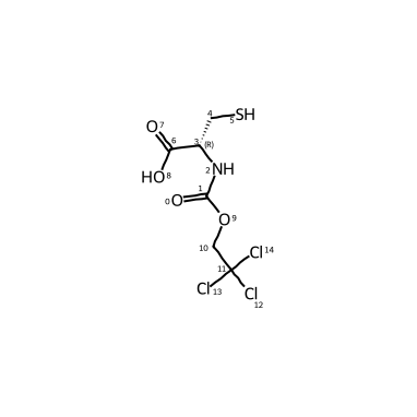 O=C(N[C@@H](CS)C(=O)O)OCC(Cl)(Cl)Cl